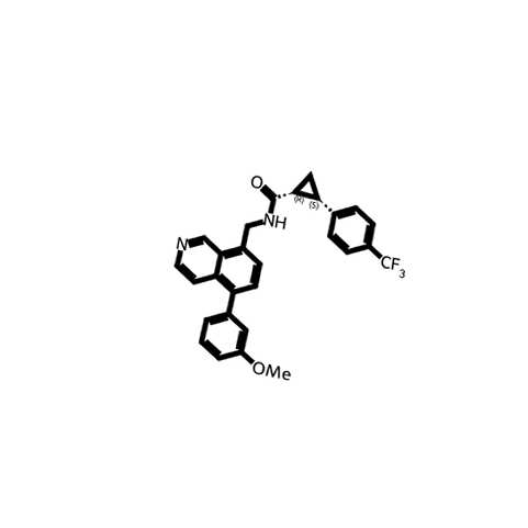 COc1cccc(-c2ccc(CNC(=O)[C@@H]3C[C@@H]3c3ccc(C(F)(F)F)cc3)c3cnccc23)c1